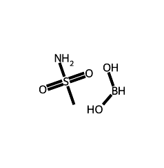 CS(N)(=O)=O.OBO